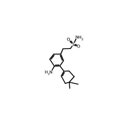 CC1(C)CC=C(c2cc(CCS(N)(=O)=O)ccc2N)CC1